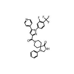 O=C(c1cc(-c2ccncc2)n(-c2ccc(C(F)(F)F)c(F)c2)n1)N1CCC2(CC1)C(=O)NCN2c1ccccc1